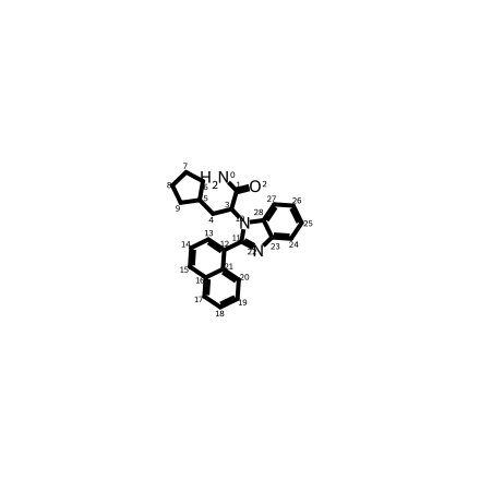 NC(=O)C(CC1CCCC1)n1c(-c2cccc3ccccc23)nc2ccccc21